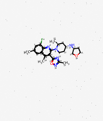 Cc1cc(F)c2nc(N3CC[C@@H](N[C@H]4CCOC4)C[C@@H]3C)c(-c3nc(C)no3)c(C)c2c1